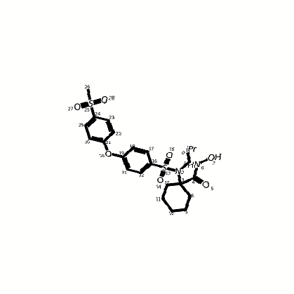 CC(C)CN(C1(C(=O)NO)CCCCC1)S(=O)(=O)c1ccc(Oc2ccc(S(C)(=O)=O)cc2)cc1